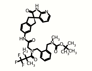 CN(Cc1ccccc1CN(CC(=O)Nc1ccc2c(c1)C[C@@]1(C2)C(=O)Nc2ncccc21)C(=O)C(C)(C)C(F)(F)F)C(=O)OC(C)(C)C